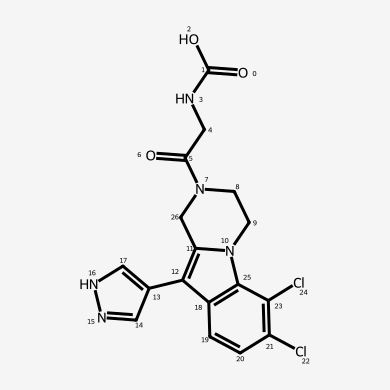 O=C(O)NCC(=O)N1CCn2c(c(-c3cn[nH]c3)c3ccc(Cl)c(Cl)c32)C1